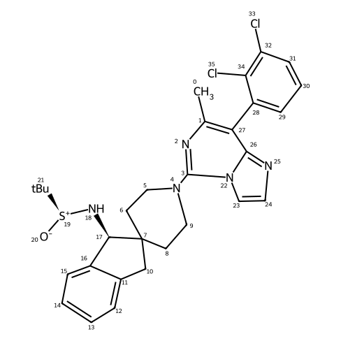 Cc1nc(N2CCC3(CC2)Cc2ccccc2[C@H]3N[S@@+]([O-])C(C)(C)C)n2ccnc2c1-c1cccc(Cl)c1Cl